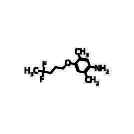 Cc1cc(OCCCC(C)(F)F)c(C)cc1N